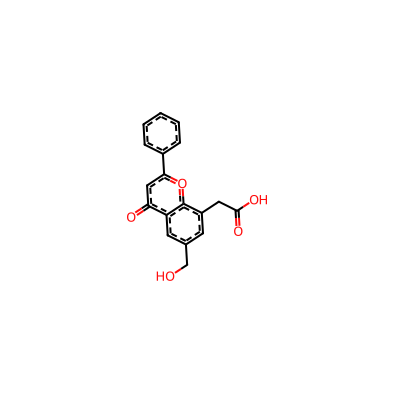 O=C(O)Cc1cc(CO)cc2c(=O)cc(-c3ccccc3)oc12